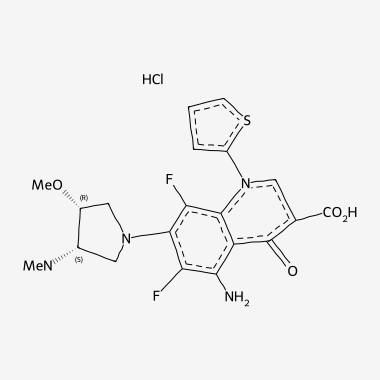 CN[C@H]1CN(c2c(F)c(N)c3c(=O)c(C(=O)O)cn(-c4cccs4)c3c2F)C[C@H]1OC.Cl